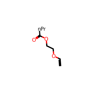 C=COCCOC(=O)CCC